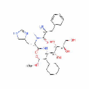 CCCCOC(=O)C(C1CCCCC1)[C@H](NC(=O)[C@H](Cc1c[nH]cn1)N(C)C(=O)[C@@H](N)Cc1ccccc1)[C@@H](O)[C@H](O)[C@H](O)CO